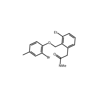 CCc1cccc(CC(=O)NC)c1COc1ccc(C)cc1Br